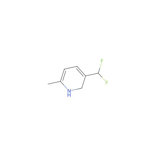 CC1=CC=C(C(F)F)CN1